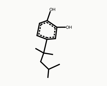 CC(C)CC(C)(C)c1ccc(O)c(O)c1